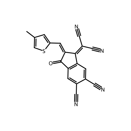 Cc1csc(/C=C2\C(=O)c3cc(C#N)c(C#N)cc3C2=C(C#N)C#N)c1